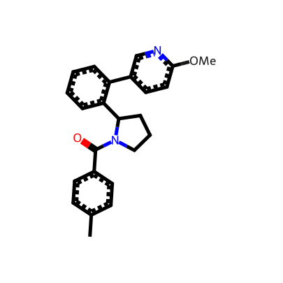 COc1ccc(-c2ccccc2C2CCCN2C(=O)c2ccc(C)cc2)cn1